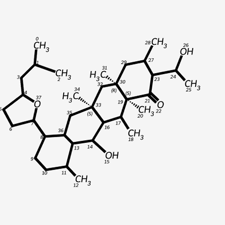 CC(C)CC1CCC(C2CCC(C)C3C(O)C4C(C)[C@]5(C)C(=O)C(C(C)O)C(C)C[C@]5(C)C[C@]4(C)CC23)O1